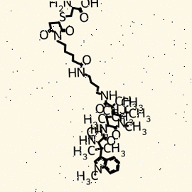 CN[C@H](C(=O)NC(C(=O)N(C)[C@H](/C=C(\C)C(=O)NCCCCNC(=O)CCCCCN1C(=O)CC(SC[C@H](N)C(=O)O)C1=O)C(C)C)C(C)(C)C)C(C)(C)c1cn(C)c2ccccc12